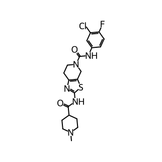 CN1CCC(C(=O)Nc2nc3c(s2)CN(C(=O)Nc2ccc(F)c(Cl)c2)CC3)CC1